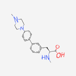 CN[C@@H](Cc1cccc(-c2ccc(N3CCN(C)CC3)cc2)c1)C(=O)O